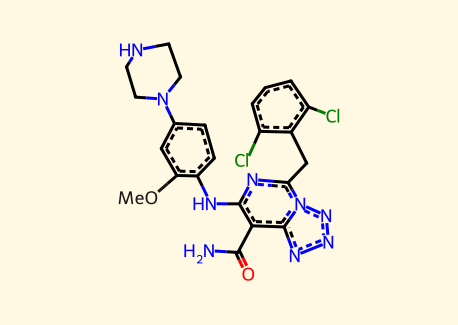 COc1cc(N2CCNCC2)ccc1Nc1nc(Cc2c(Cl)cccc2Cl)n2nnnc2c1C(N)=O